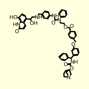 O=C(N[C@@H](c1ccccc1)c1cccc(OCc2ccc(C(=O)OCCN(C(=O)Nc3ccc(CNCC(O)c4ccc(O)c5[nH]c(=O)ccc45)cc3)c3ccccc3)cc2)c1)OC1CN2CCC1CC2